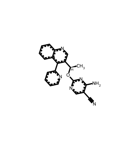 C[C@@H](Oc1ncc(C#N)c(N)n1)c1cnc2ccccc2c1-c1ccccn1